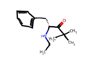 CCN[C@H](Cc1ccccc1)C(=O)C(C)(C)C